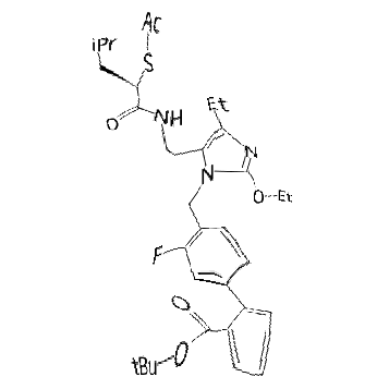 CCOc1nc(CC)c(CNC(=O)[C@@H](CC(C)C)SC(C)=O)n1Cc1ccc(-c2ccccc2C(=O)OC(C)(C)C)cc1F